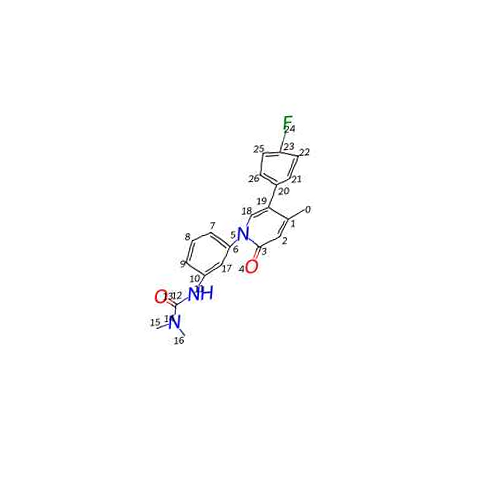 Cc1cc(=O)n(-c2cccc(NC(=O)N(C)C)c2)cc1-c1ccc(F)cc1